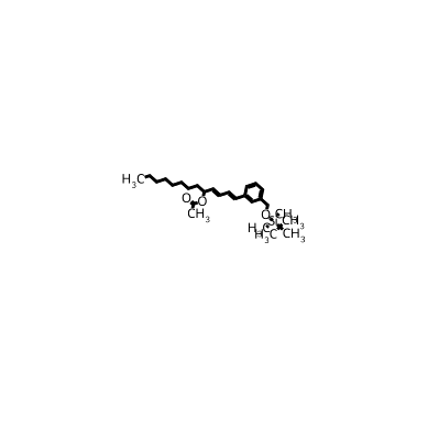 CCCCCCCCC(C=CC=Cc1cccc(CO[Si](C)(C)C(C)(C)C)c1)OC(C)=O